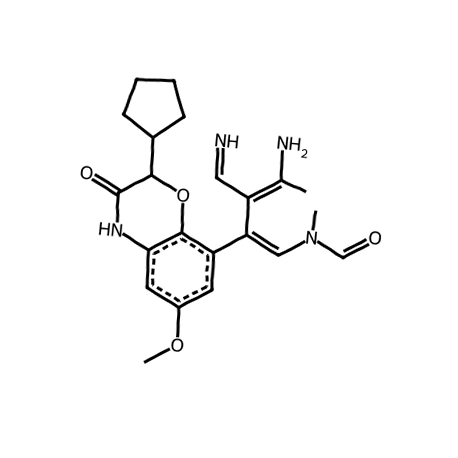 COc1cc2c(c(C(=C/N(C)C=O)/C(C=N)=C(\C)N)c1)OC(C1CCCC1)C(=O)N2